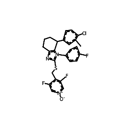 Cc1cc(C2CCCc3nc(SCc4c(F)c[n+]([O-])cc4F)n(-c4ccc(F)cc4)c32)ccc1Cl